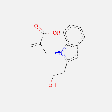 C=C(C)C(=O)O.OCCc1cc2ccccc2[nH]1